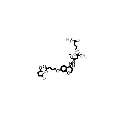 CC(=O)CCSSC(C)(C)CC(=O)N/N=C1\CCOc2cc(OCCCC(=O)ON3C(=O)CCC3=O)ccc21